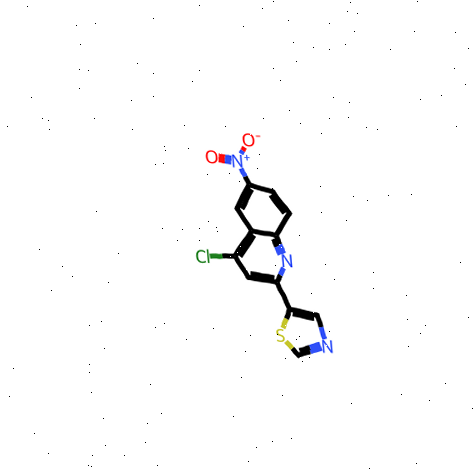 O=[N+]([O-])c1ccc2nc(-c3cncs3)cc(Cl)c2c1